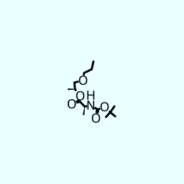 CCCOC[C@H](C)OC(=O)[C@H](C)NC(=O)OC(C)(C)C